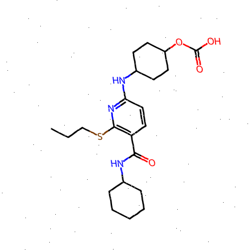 CCCSc1nc(NC2CCC(OC(=O)O)CC2)ccc1C(=O)NC1CCCCC1